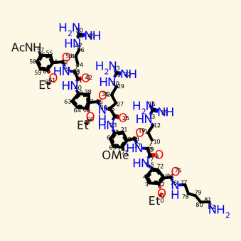 CCOc1ccc(NC(=O)[C@@H](CCCNC(=N)N)NC(=O)c2cc(NC(=O)C(CCCNC(=N)N)NC(=O)c3cc(NC(=O)[C@@H](CCCNC(=N)N)NC(=O)c4cc(NC(C)=O)ccc4OCC)ccc3OCC)ccc2OC)cc1C(=O)NCCCCCN